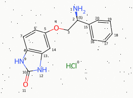 Cl.N[C@H](COc1ccc2[nH]c(=O)[nH]c2c1)c1ccccc1